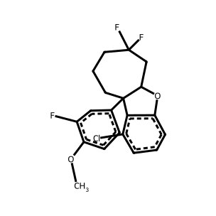 COc1ccc(C23CCCC(F)(F)CC2Oc2cccc(Cl)c23)cc1F